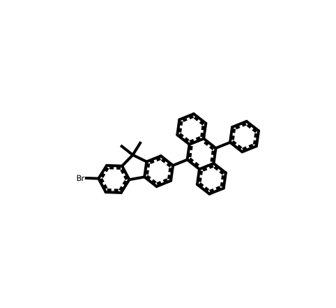 CC1(C)c2cc(Br)ccc2-c2ccc(-c3c4ccccc4c(-c4ccccc4)c4ccccc34)cc21